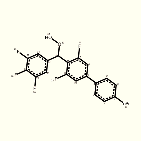 CCCc1ccc(-c2cc(F)c(C(OO)c3cc(F)c(F)c(F)c3)c(F)c2)cc1